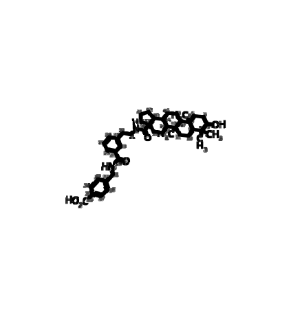 CC1(C)C(O)CCC2(C)C1CCC1(C)C3CCC4(C(=O)NCCc5cccc(C(=O)NCc6ccc(C(=O)O)cc6)c5)CCCC4C3CCC12